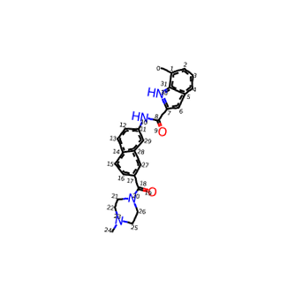 Cc1cccc2cc(C(=O)Nc3ccc4ccc(C(=O)N5CCN(C)CC5)cc4c3)[nH]c12